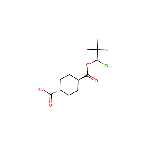 CC(C)(C)C(Cl)OC(=O)[C@H]1CC[C@H](C(=O)O)CC1